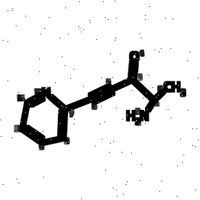 CC(N)C(=O)C#Cc1ccccn1